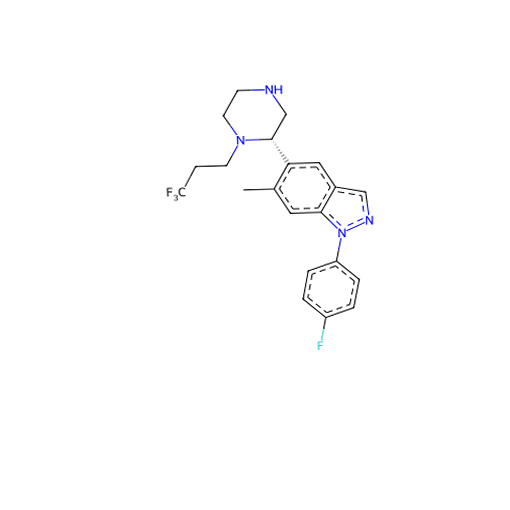 Cc1cc2c(cnn2-c2ccc(F)cc2)cc1[C@H]1CNCCN1CCC(F)(F)F